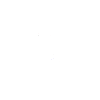 COC(=O)NC=CSC1=C(C(=O)O)N2C(=O)CC2C1